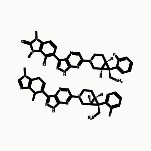 CC1C(c2n[nH]c3nc(N4CC[C@@H]5[C@H](C4)[C@@]5(CN)c4ccccc4F)cnc23)=CCc2c1ncn2C.Cn1c(=O)n(C)c2c(Cl)c(-c3n[nH]c4nc(N5CC[C@@H]6[C@H](C5)[C@@]6(CN)c5ccccc5F)cnc34)ccc21